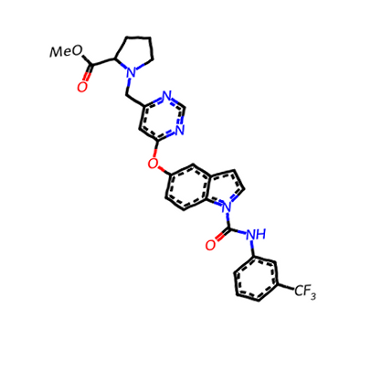 COC(=O)C1CCCN1Cc1cc(Oc2ccc3c(ccn3C(=O)Nc3cccc(C(F)(F)F)c3)c2)ncn1